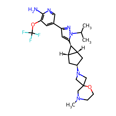 CC(C)n1nc(-c2cnc(N)c(OC(F)(F)F)c2)cc1[C@H]1[C@@H]2C[C@@H](N3CC4(CN(C)CCO4)C3)C[C@@H]21